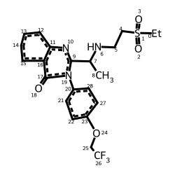 CCS(=O)(=O)CCNC(C)c1nc2ccccc2c(=O)n1-c1ccc(OCC(F)(F)F)cc1